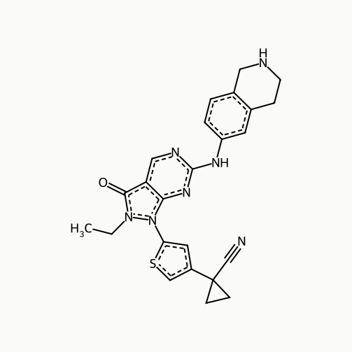 CCn1c(=O)c2cnc(Nc3ccc4c(c3)CCNC4)nc2n1-c1cc(C2(C#N)CC2)cs1